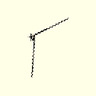 [CH2]c1nc(CCCCCCCCCCCCCCCCCCCCCCC)cc(CCCCCCCCCCCCCCCCCCCCCCC)n1